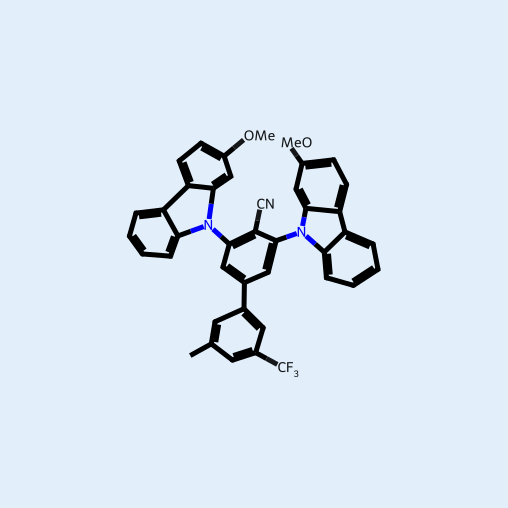 COc1ccc2c3ccccc3n(-c3cc(-c4cc(C)cc(C(F)(F)F)c4)cc(-n4c5ccccc5c5ccc(OC)cc54)c3C#N)c2c1